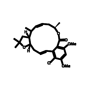 COc1cc(OC)c2c(c1Cl)/C=C/C[C@@H]1OC(C)(C)C[C@@H]1C(C)/C=C\C[C@H](C)OC2=O